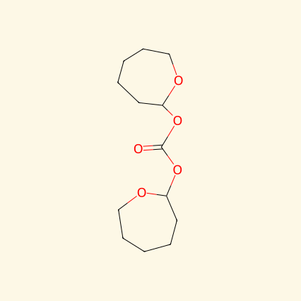 O=C(OC1CCCCCO1)OC1CCCCCO1